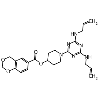 C=CCNc1nc(NCC=C)nc(N2CCC(OC(=O)c3ccc4c(c3)COCO4)CC2)n1